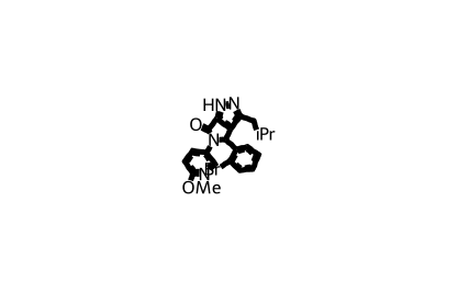 COc1ccc(N2C(=O)c3[nH]nc(CC(C)C)c3C2c2ccccc2Br)cn1